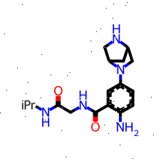 CC(C)NC(=O)CNC(=O)c1cc(N2CC3CC2CN3)ccc1N